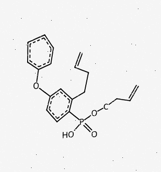 C=CCCOP(=O)(O)c1ccc(Oc2ccccc2)cc1CCC=C